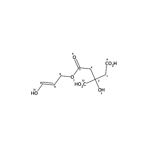 O=C(O)CC(O)(CC(=O)OCC=CO)C(=O)O